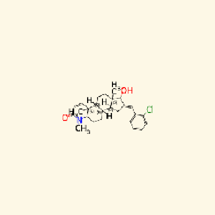 CN1C(=O)C=C[C@@]2(C)C1CC[C@@H]1[C@H]2CC[C@]2(C)C(O)C(=Cc3ccccc3Cl)C[C@@H]12